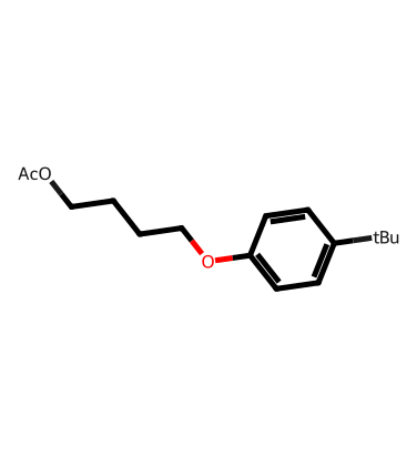 CC(=O)OCCCCOc1ccc(C(C)(C)C)cc1